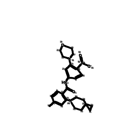 Cc1ccc(C(=O)Nc2ccc([N+](=O)[O-])c(N3CCOCC3)c2)c(N2CCC3(CC2)CC3)c1